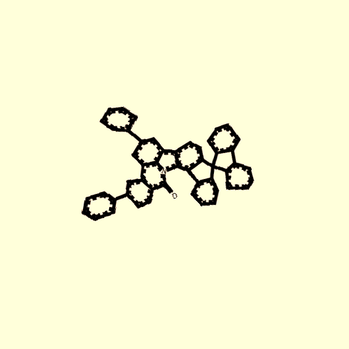 O=c1c2ccc(-c3ccccc3)cc2c2cc(-c3ccccc3)cc3c4ccc5c(c4n1c23)-c1ccccc1C51c2ccccc2-c2ccccc21